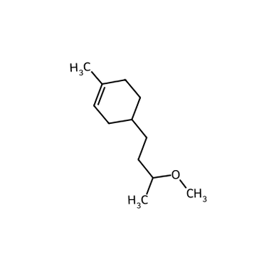 COC(C)CCC1CC=C(C)CC1